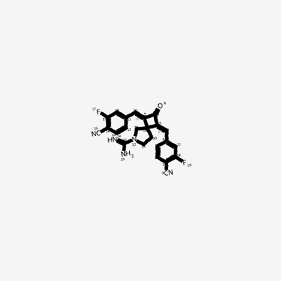 N#Cc1ccc(/C=C2/C(=O)/C(=C/c3ccc(C#N)c(F)c3)C23CCN(C(=N)N)C3)cc1F